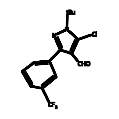 CC(C)(C)n1nc(-c2cccc(C(F)(F)F)c2)c(C=O)c1Cl